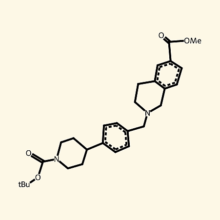 COC(=O)c1ccc2c(c1)CCN(Cc1ccc(C3CCN(C(=O)OC(C)(C)C)CC3)cc1)C2